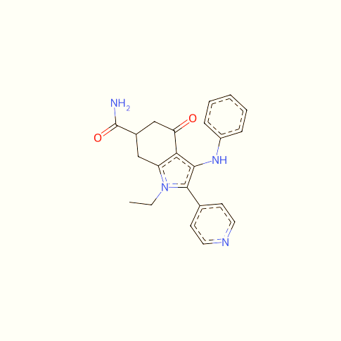 CCn1c2c(c(Nc3ccccc3)c1-c1ccncc1)C(=O)CC(C(N)=O)C2